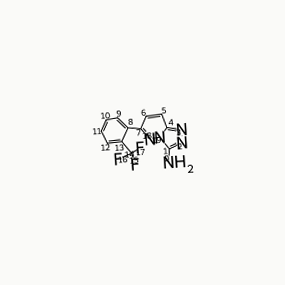 Nc1nnc2ccc(-c3ccccc3C(F)(F)F)nn12